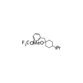 COC1(Cc2cccc(OC(F)(F)F)c2)CCC(C(C)C)CC1